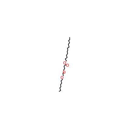 CCCCCCCCCCCCCCOC(=O)CCCOCCOCCCCCCCC